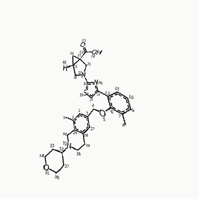 Cc1cc(COc2c(C)cccc2-c2csc(N3C[C@@H]4C[C@]4(C(=O)O)C3)n2)cc2c1CN(C1CCOCC1)CC2